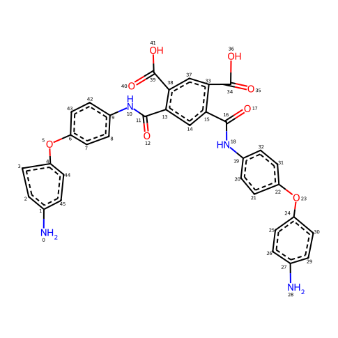 Nc1ccc(Oc2ccc(NC(=O)c3cc(C(=O)Nc4ccc(Oc5ccc(N)cc5)cc4)c(C(=O)O)cc3C(=O)O)cc2)cc1